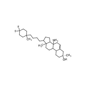 CC1(CCCCC2CCC3C2(C)CCC2C4CC[C@](C)(O)CC4=CCC23N)CCC(F)(F)CC1